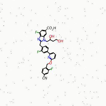 N#Cc1ccc(COc2cccc(-c3ccc(Cc4nc5c(F)cc(C(=O)O)cc5n4CC(O)CCO)c(F)c3)n2)c(F)c1